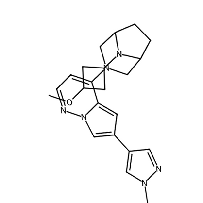 COC1CC(N2C3CCC2CN(c2ccnn4cc(-c5cnn(C)c5)cc24)C3)C1